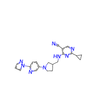 N#Cc1cnc(C2CC2)nc1NCC1CCN(c2ccc(-n3cccn3)nc2)C1